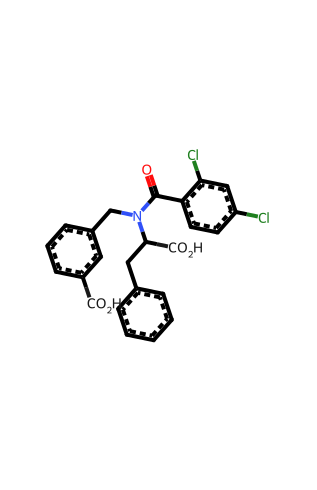 O=C(O)c1cccc(CN(C(=O)c2ccc(Cl)cc2Cl)C(Cc2ccccc2)C(=O)O)c1